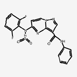 O=C(Nc1ccccc1)c1cnn2ccc(N(c3c(F)cccc3F)[SH](=O)=O)nc12